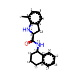 Cc1cccc2c1NC(C(=O)NC1CCCc3ccccc31)C2